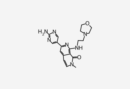 Cn1ccc2cc(-c3cnc(N)nc3)nc(NCCN3CCOCC3)c2c1=O